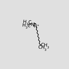 CC(C)CCCCCCCCCC[n+]1ccn(C(C)C)c1